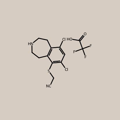 N#CCSc1c(Cl)cc(Cl)c2c1CCNCC2.O=C(O)C(F)(F)F